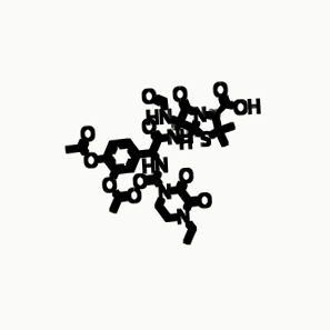 CCN1CCN(C(=O)NC(C(=O)N[C@@]2(NC=O)C(=O)N3[C@@H](C(=O)O)C(C)(C)S[C@@H]32)c2ccc(OC(C)=O)c(OC(C)=O)c2)C(=O)C1=O